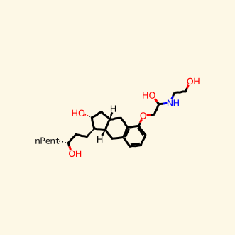 CCCCC[C@@H](O)CC[C@@H]1[C@H]2Cc3cccc(OCC(O)NCCO)c3C[C@H]2C[C@H]1O